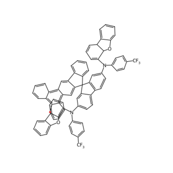 FC(F)(F)c1ccc(N(C2=CC=CC3c4ccccc4OC23)c2ccc3c(c2)C2(c4ccccc4-c4cc5c6ccccc6c6ccccc6c5cc42)c2cc(N(c4ccc(C(F)(F)F)cc4)c4cccc5c4oc4ccccc45)ccc2-3)cc1